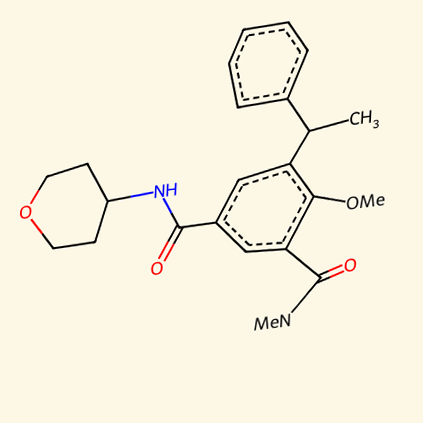 CNC(=O)c1cc(C(=O)NC2CCOCC2)cc(C(C)c2ccccc2)c1OC